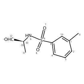 Cc1cccc(S(=O)(=O)N[C@@H](C)[C]=O)c1